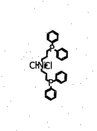 [Cl][Ni]([Cl])([CH2]CCP(c1ccccc1)c1ccccc1)[CH2]CCP(c1ccccc1)c1ccccc1